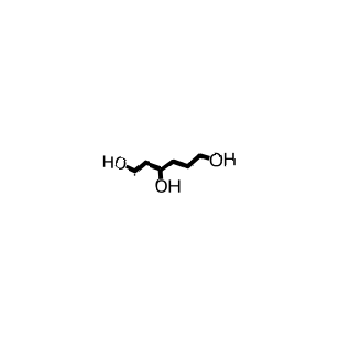 O[CH]CC(O)CCCO